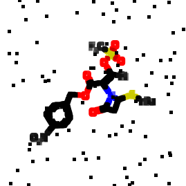 CCCCSC1CC(=O)N1C(C(=O)OCc1ccc([N+](=O)[O-])cc1)=C(CC)OS(=O)(=O)C(F)(F)F